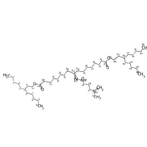 CCCCCC(CCCCC)CCOC(=O)CCCCCCCC(CCCCCCCC(=O)OCCC(CCCCC)CCCCC)=NNCCCN(C)C